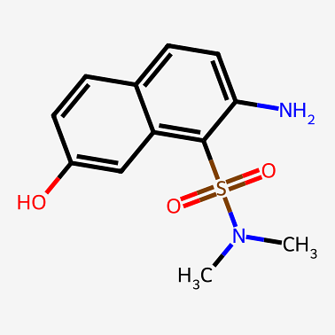 CN(C)S(=O)(=O)c1c(N)ccc2ccc(O)cc12